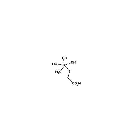 CP(O)(O)(O)CCC(=O)O